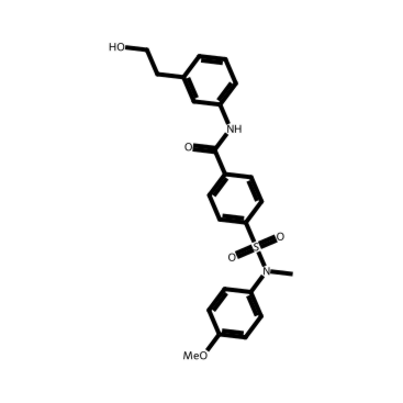 COc1ccc(N(C)S(=O)(=O)c2ccc(C(=O)Nc3cccc(CCO)c3)cc2)cc1